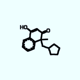 CC1(CC2CCCC2)C(=O)C=C(O)c2ccccc21